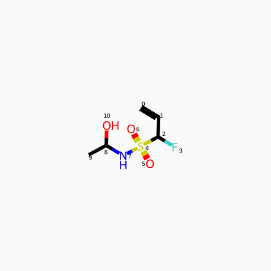 C=CC(F)S(=O)(=O)NC(C)O